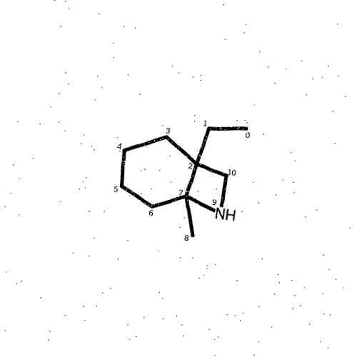 CCC12CCCCC1(C)NC2